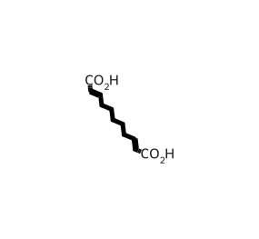 O=C(O)/C=C/CCCCC/C=C/C(=O)O